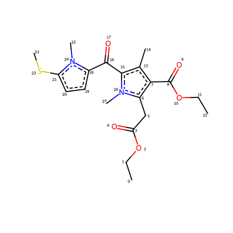 CCOC(=O)Cc1c(C(=O)OCC)c(C)c(C(=O)c2ccc(SC)n2C)n1C